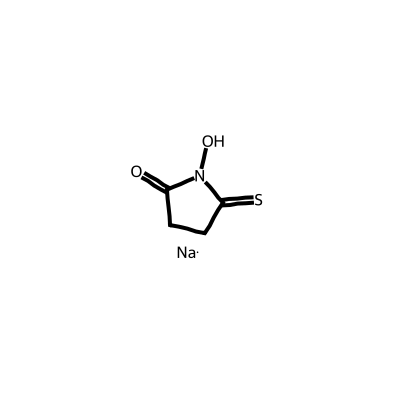 O=C1CCC(=S)N1O.[Na]